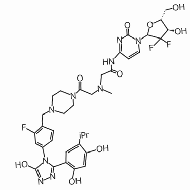 CC(C)c1cc(-c2nnc(O)n2-c2ccc(CN3CCN(C(=O)CN(C)CC(=O)Nc4ccn(C5O[C@H](CO)[C@@H](O)C5(F)F)c(=O)n4)CC3)c(F)c2)c(O)cc1O